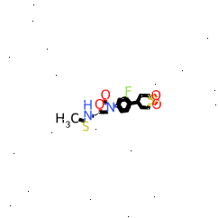 CC(=S)NC[C@H]1CN(c2ccc(C3CCS(=O)(=O)CC3)c(F)c2)C(=O)O1